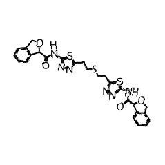 O=C(Nc1nnc(CCSCCc2nnc(NC(=O)C3OCc4ccccc43)s2)s1)C1OCc2ccccc21